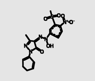 CC1=NN(C2=CCCC=C2)C(=O)C1=NN(O)c1ccc([N+](=O)[O-])c(S(C)(=O)=O)c1